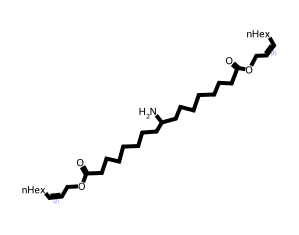 CCCCCC/C=C\COC(=O)CCCCCCCC(N)CCCCCCCC(=O)OC/C=C\CCCCCC